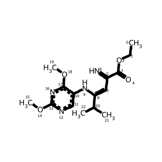 CCOC(=O)C(=N)/C=C(\Nc1cnc(OC)nc1OC)C(C)C